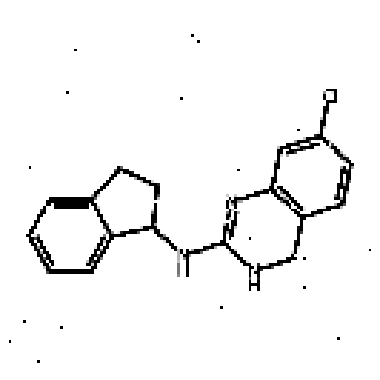 Clc1ccc2c(c1)N=C(NC1CCc3ccccc31)NC2